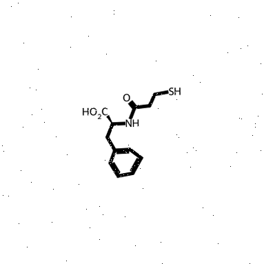 O=C(CCS)N[C@@H](Cc1ccccc1)C(=O)O